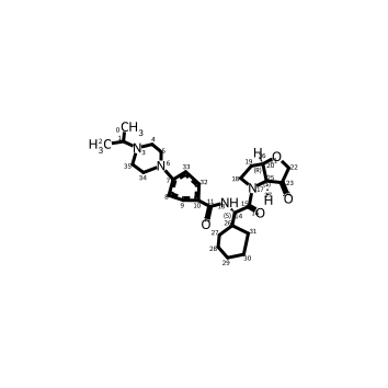 CC(C)N1CCN(c2ccc(C(=O)N[C@H](C(=O)N3CC[C@H]4OCC(=O)[C@H]43)C3CCCCC3)cc2)CC1